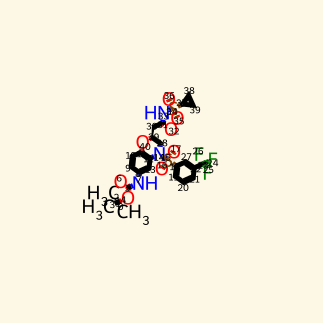 CC(C)(C)OC(=O)Nc1ccc2c(c1)N(S(=O)(=O)c1cccc(C(F)(F)F)c1)C[C@H](CC(=O)NS(=O)(=O)C1CC1)O2